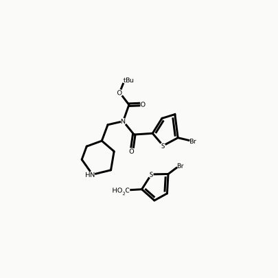 CC(C)(C)OC(=O)N(CC1CCNCC1)C(=O)c1ccc(Br)s1.O=C(O)c1ccc(Br)s1